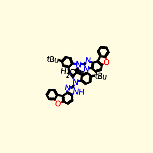 C=c1/c2n3c4ccc5oc6ccccc6c5c4nc3n1-c1ccc(C(C)(C)C)cc1/C=c1\c=2c2cc(C(C)(C)C)ccc2n1-c1nc2c(ccc3oc4ccccc4c32)[nH]1